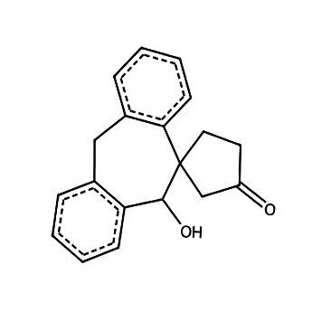 O=C1CCC2(C1)c1ccccc1Cc1ccccc1C2O